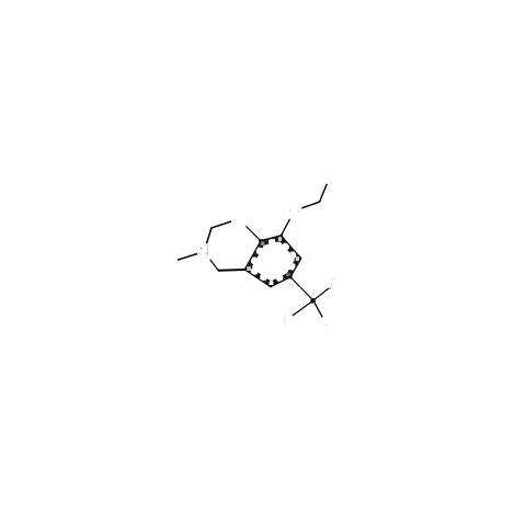 CCOc1cc(C(F)(F)F)cc2c1OCN(C)C2